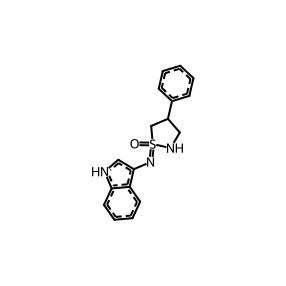 O=S1(=Nc2c[nH]c3ccccc23)CC(c2ccccc2)CN1